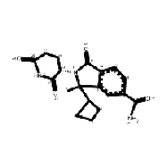 CC1(C2CCC2)c2cc(C(N)=O)ccc2C(=O)N1[C@H]1CCC(=O)NC1=O